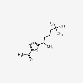 CC(CCCC(C)(C)O)c1cnc(C(N)=O)s1